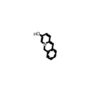 OC1=CN2Cc3ccccc3C=C2C=C1